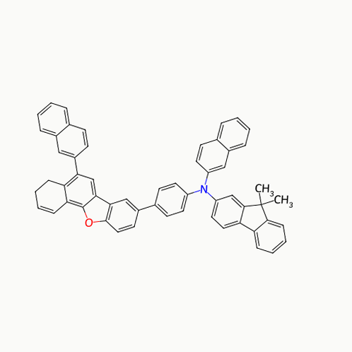 CC1(C)c2ccccc2-c2ccc(N(c3ccc(-c4ccc5oc6c7c(c(-c8ccc9ccccc9c8)cc6c5c4)CCC=C7)cc3)c3ccc4ccccc4c3)cc21